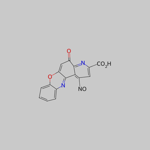 O=Nc1cc(C(=O)O)nc2c(=O)cc3oc4ccccc4nc-3c12